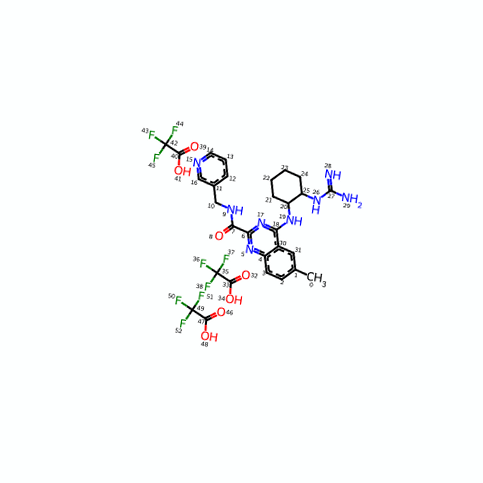 Cc1ccc2nc(C(=O)NCc3cccnc3)nc(NC3CCCCC3NC(=N)N)c2c1.O=C(O)C(F)(F)F.O=C(O)C(F)(F)F.O=C(O)C(F)(F)F